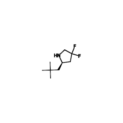 CC(C)(C)C[C@@H]1CC(F)(F)CN1